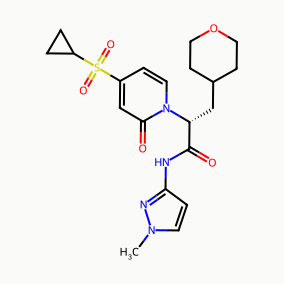 Cn1ccc(NC(=O)[C@@H](CC2CCOCC2)n2ccc(S(=O)(=O)C3CC3)cc2=O)n1